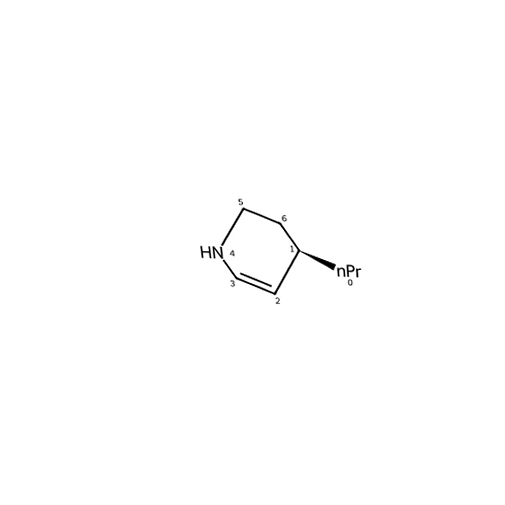 CCC[C@H]1C=CNCC1